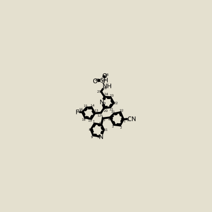 N#Cc1ccc(C(c2cccnc2)[C@H](c2ccc(F)cc2)c2cccc(CN[SH](=O)=O)n2)cc1